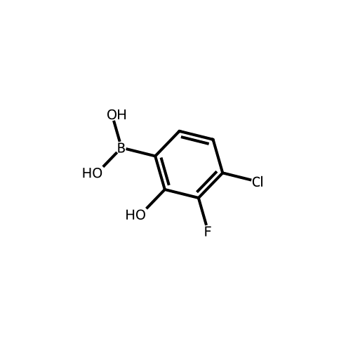 OB(O)c1ccc(Cl)c(F)c1O